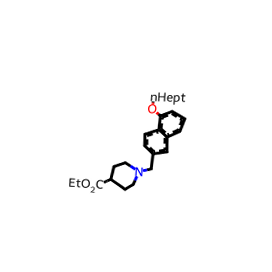 CCCCCCCOc1cccc2cc(CN3CCC(C(=O)OCC)CC3)ccc12